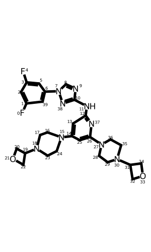 Fc1cc(F)cc(-n2cnc(Nc3cc(N4CCN(C5COC5)CC4)cc(N4CCN(C5COC5)CC4)n3)n2)c1